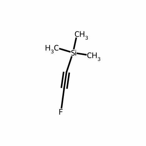 C[Si](C)(C)C#CF